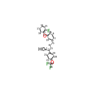 C#CC(CCCc1ccc(F)c(Oc2ccccc2)c1)c1ccc(OC(F)F)cc1